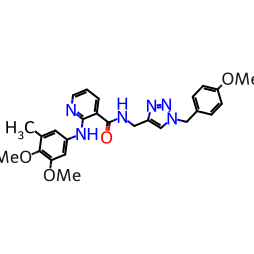 COc1ccc(Cn2cc(CNC(=O)c3cccnc3Nc3cc(C)c(OC)c(OC)c3)nn2)cc1